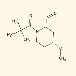 CO[C@@H]1CCN(C(=O)C(C)(C)C)[C@H](C=O)C1